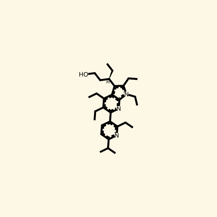 CCc1nc(C(C)C)ccc1-c1nc2c(c(CC)c1CC)c([C@H](CC)CCO)c(CC)n2CC